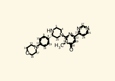 Cn1c(N2CCN[C@@H](c3ccc(N4CCOCC4)cc3)C2)nc(-c2ccncn2)cc1=O